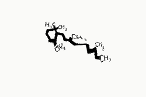 C/C=C(C)/C=C/C=C(C)/C=C/C1=C(C)CCCC1(C)C